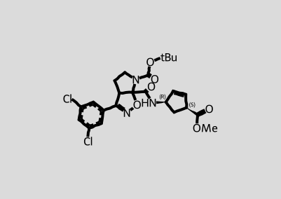 COC(=O)[C@@H]1C=C[C@H](NC(=O)C23ON=C(c4cc(Cl)cc(Cl)c4)C2CCN3C(=O)OC(C)(C)C)C1